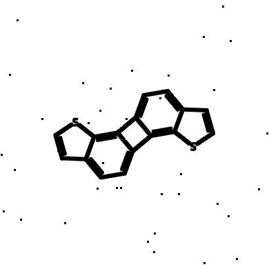 c1cc2ccc3c(c2s1)-c1ccc2ccsc2c1-3